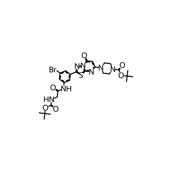 CC(C)(C)OC(=O)NCC(=O)Nc1cc(Br)cc(-c2nn3c(=O)cc(N4CCN(C(=O)OC(C)(C)C)CC4)nc3s2)c1